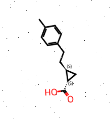 Cc1ccc(CC[C@H]2C[C@@H]2C(=O)O)cc1